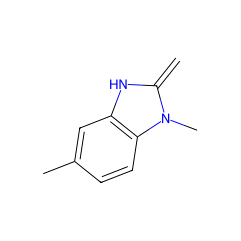 C=C1Nc2cc(C)ccc2N1C